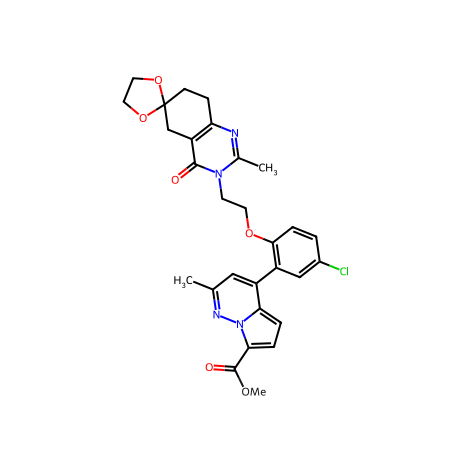 COC(=O)c1ccc2c(-c3cc(Cl)ccc3OCCn3c(C)nc4c(c3=O)CC3(CC4)OCCO3)cc(C)nn12